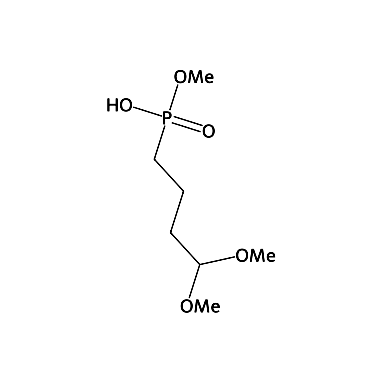 COC(CCCP(=O)(O)OC)OC